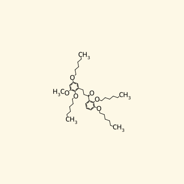 CCCCCCOc1cc(CCC(=O)c2cccc(OCCCCCC)c2OCCCCCC)c(OCCCCCC)c(OC)c1